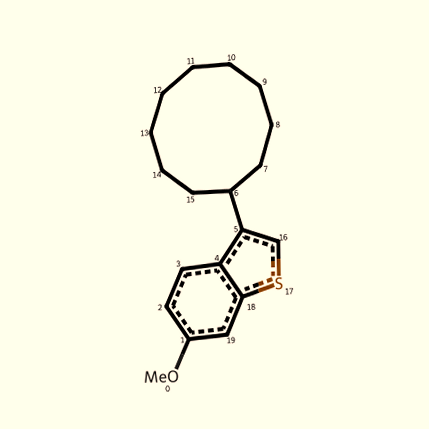 COc1ccc2c(C3CCCCCCCCC3)csc2c1